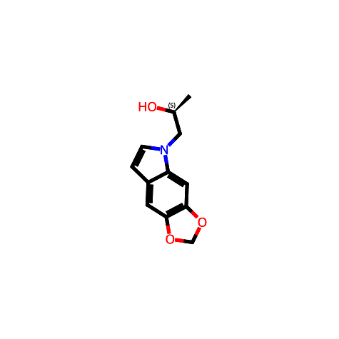 C[C@H](O)Cn1ccc2cc3c(cc21)OCO3